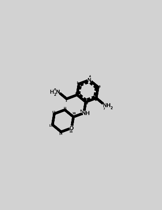 NCc1cncc(N)c1NC1CCCCO1